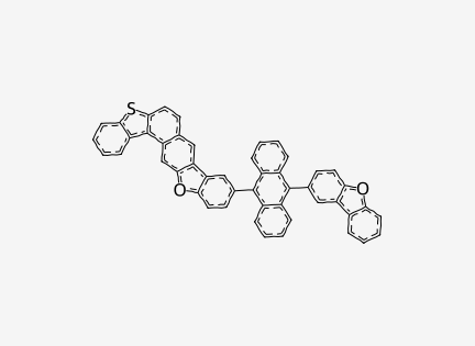 c1ccc2c(c1)oc1ccc(-c3c4ccccc4c(-c4ccc5oc6cc7c(ccc8sc9ccccc9c87)cc6c5c4)c4ccccc34)cc12